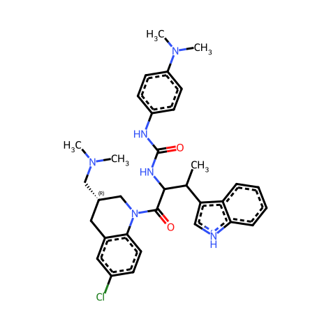 CC(c1c[nH]c2ccccc12)C(NC(=O)Nc1ccc(N(C)C)cc1)C(=O)N1C[C@@H](CN(C)C)Cc2cc(Cl)ccc21